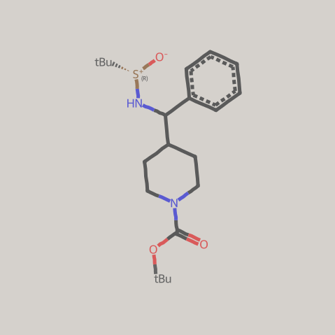 CC(C)(C)OC(=O)N1CCC(C(N[S@@+]([O-])C(C)(C)C)c2ccccc2)CC1